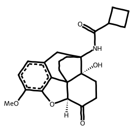 COc1ccc2c3c1O[C@@H]1C(=O)CC[C@]4(O)C(NC(=O)C5CCC5)(CCCC314)C2